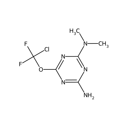 CN(C)c1nc(N)nc(OC(F)(F)Cl)n1